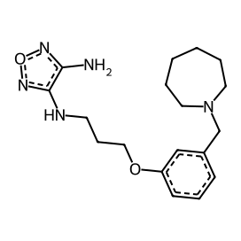 Nc1nonc1NCCCOc1cccc(CN2CCCCCC2)c1